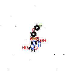 CCN(CCO)C(=O)N1CCN(S(=O)(=O)c2ccc(Oc3ccc(F)cc3)cc2)[C@@H](C(=O)NO)C1